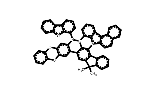 CC1(C)c2ccccc2-c2c1cc1c3c2-n2c4ccc5ccccc5c4c4cccc(c42)B3N(c2cccc3c2oc2ccccc23)c2cc3c(cc2-1)Oc1ccccc1O3